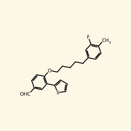 Cc1ccc(CCCCCOc2ccc(C=O)cc2-c2cccs2)cc1F